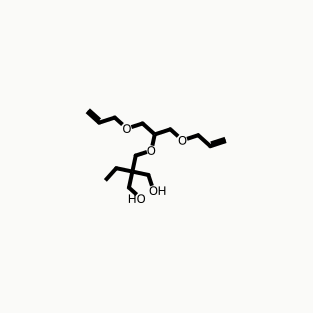 C=CCOCC(COCC=C)OCC(CC)(CO)CO